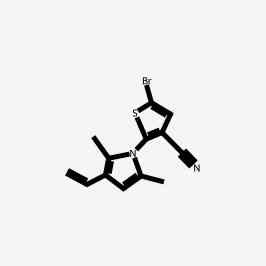 C=Cc1cc(C)n(-c2sc(Br)cc2C#N)c1C